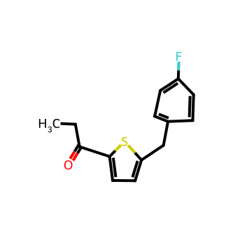 CCC(=O)c1ccc(Cc2ccc(F)cc2)s1